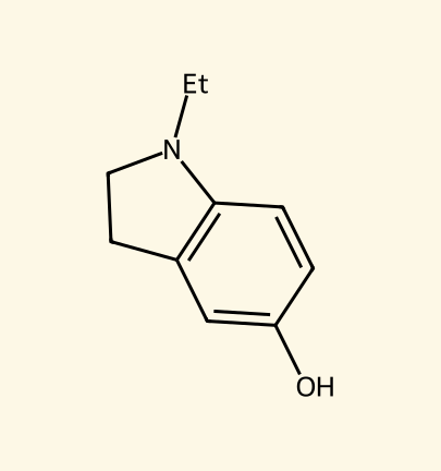 CCN1CCc2cc(O)ccc21